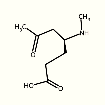 CN[C@@H](CCC(=O)O)CC(C)=O